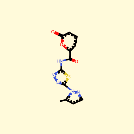 Cc1ccnn1-c1nnc(NC(=O)c2cccc(=O)o2)s1